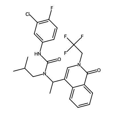 CC(C)CN(C(=O)Nc1ccc(F)c(Cl)c1)C(C)c1cn(CC(F)(F)F)c(=O)c2ccccc12